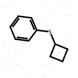 c1ccc(SC2CCC2)cc1